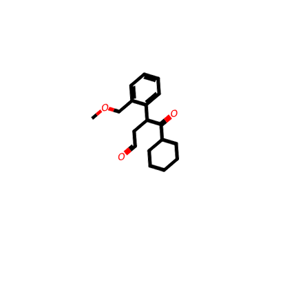 COCc1ccccc1C(CC=O)C(=O)C1CCCCC1